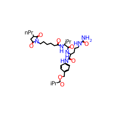 CCCC1CC(=O)N(CCCCCC(=O)NC(C(=O)NC(CCCNC(N)=O)C(=O)Nc2ccc(COC(=O)C(C)C)cc2)C(C)C)C1=O